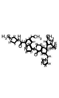 CCc1cc(C(=O)NC2CCN(C)C2)c2nccc(N3CCc4c(cc(Cn5ccnc5)cc4-c4cn(C)nc4C(F)(F)F)C3=O)c2c1